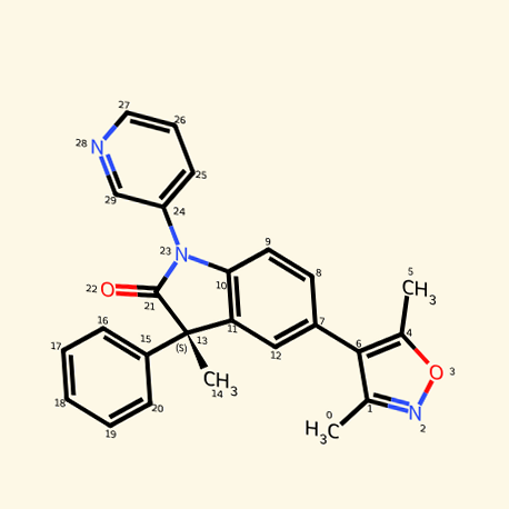 Cc1noc(C)c1-c1ccc2c(c1)[C@](C)(c1ccccc1)C(=O)N2c1cccnc1